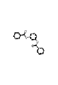 O=C(Oc1cccc(OC(=O)c2ccccc2)c1)c1ccccc1